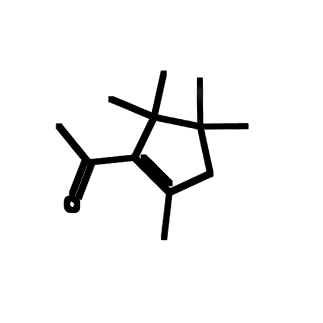 CC(=O)C1=C(C)CC(C)(C)C1(C)C